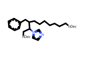 CCCCCCCCCCCCCCCCCC(Cc1ccccc1)C(CCCCCCCCCCC)n1ccnc1